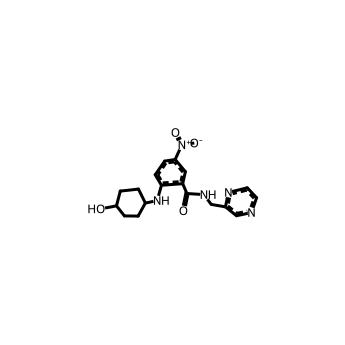 O=C(NCc1cnccn1)c1cc([N+](=O)[O-])ccc1NC1CCC(O)CC1